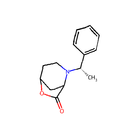 C[C@@H](c1ccccc1)N1CCC2CC1C(=O)O2